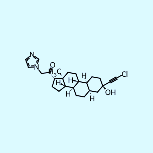 C[C@]12CC[C@H]3[C@@H](CC[C@@H]4C[C@@](O)(C#CCl)CC[C@@H]43)[C@@H]1CC[C@@H]2C(=O)Cn1ccnc1